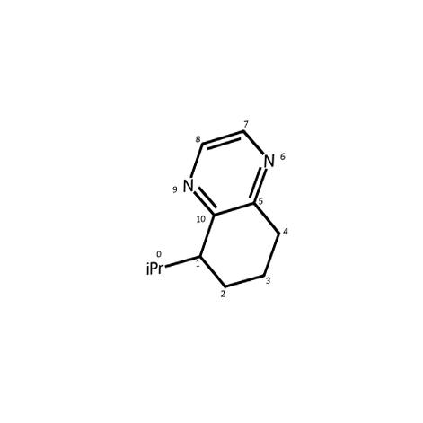 CC(C)C1CCCc2nccnc21